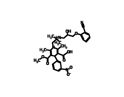 COC(=O)C1=C(C)N(CC(C)(C)NCC(O)COc2ccccc2C#N)C(C)=C(C(=O)O)C1c1cccc([N+](=O)[O-])c1